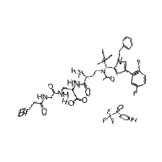 CC(=O)N(CC[C@H](N)C(=O)N[C@H](CNC(=O)CNC(=O)CBr)C(=O)O)[C@@H](c1cc(-c2cc(F)ccc2F)cn1Cc1ccccc1)C(C)(C)C.O=C(O)C(F)(F)F